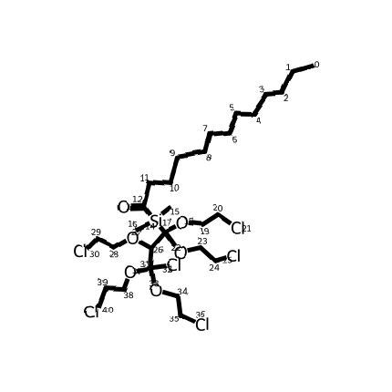 CCCCCCCCCCCCC(=O)[Si](C)(C)C(OCCCl)(OCCCl)C(OCCCl)C(Cl)(OCCCl)OCCCl